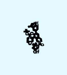 Cc1c[nH]c2ncc(-c3cc4c(c(C5COCCN5C(=O)OC(C)(C)C)c3)CN(C(=O)N3CC(O)CC3(C)C)CC4)cc12